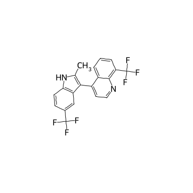 Cc1[nH]c2ccc(C(F)(F)F)cc2c1-c1ccnc2c(C(F)(F)F)cccc12